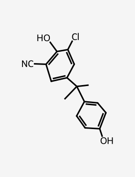 CC(C)(c1ccc(O)cc1)c1cc(Cl)c(O)c(C#N)c1